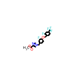 COC(=O)c1cn(Cc2ccc(OCc3ccc(C(F)(F)F)cc3F)c(F)c2)cn1